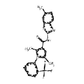 Cc1ccc2nc(NC(=O)c3cc(C)n(-c4ccccc4C(F)(F)F)c3C)sc2c1